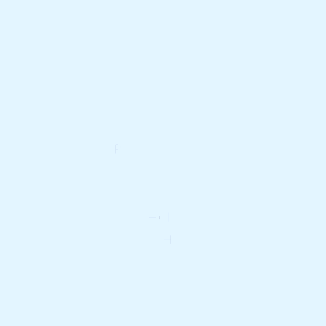 CCCCCC=Pc1ccccc1.Cl.Cl